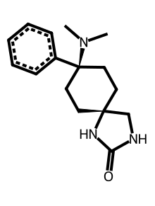 CN(C)[C@]1(c2ccccc2)CC[C@@]2(CC1)CNC(=O)N2